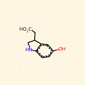 O=C(O)CC1CNc2ccc(O)cc21